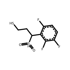 O=[SH](=O)C(CCS)c1c(F)ccc(F)c1F